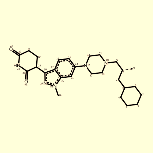 C[C@H](CC1CCCCC1)CN1CCN(c2ccc3c(C4CCC(=O)NC4=O)nn(C)c3c2)CC1